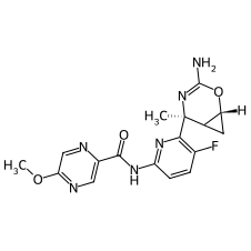 COc1cnc(C(=O)Nc2ccc(F)c([C@@]3(C)N=C(N)O[C@@H]4CC43)n2)cn1